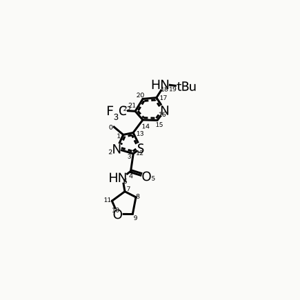 Cc1nc(C(=O)NC2CCOC2)sc1-c1cnc(NC(C)(C)C)cc1C(F)(F)F